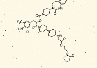 Nc1c(Cl)cc(C[C@@H](OC(=O)N2CCC(N3CCc4ccccc4NC3=O)CC2)C(=O)N2CCC(N3CCC(NCC(=O)OCCCN4CCCCC4=O)CC3)CC2)cc1C(F)(F)F